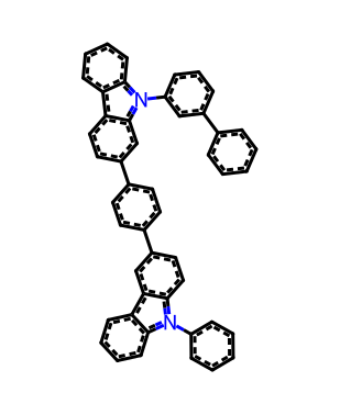 c1ccc(-c2cccc(-n3c4ccccc4c4ccc(-c5ccc(-c6ccc7c(c6)c6ccccc6n7-c6ccccc6)cc5)cc43)c2)cc1